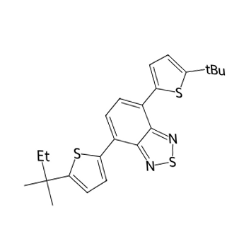 CCC(C)(C)c1ccc(-c2ccc(-c3ccc(C(C)(C)C)s3)c3nsnc23)s1